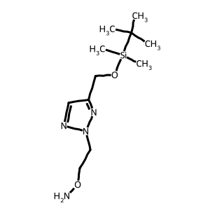 CC(C)(C)[Si](C)(C)OCc1cnn(CCON)n1